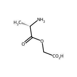 C[C@H](N)C(=O)OCC(=O)O